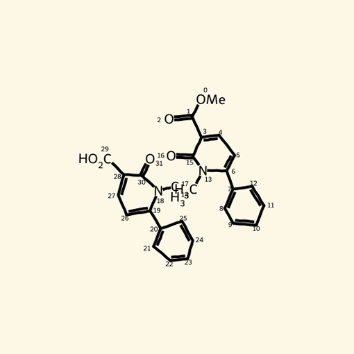 COC(=O)c1ccc(-c2ccccc2)n(C)c1=O.Cn1c(-c2ccccc2)ccc(C(=O)O)c1=O